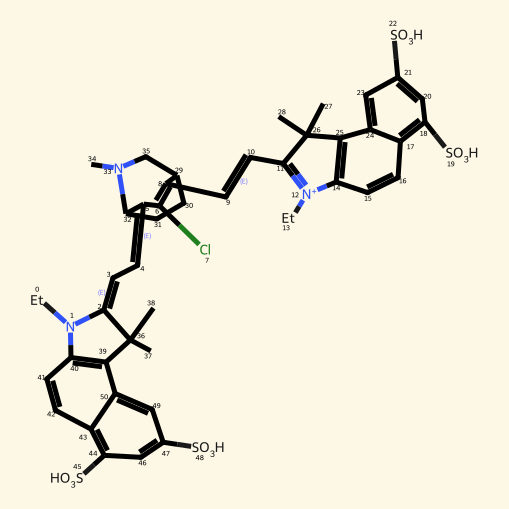 CCN1/C(=C/C=C2C(Cl)=C(/C=C/C3=[N+](CC)c4ccc5c(S(=O)(=O)O)cc(S(=O)(=O)O)cc5c4C3(C)C)C3CCC/2N(C)C3)C(C)(C)c2c1ccc1c(S(=O)(=O)O)cc(S(=O)(=O)O)cc21